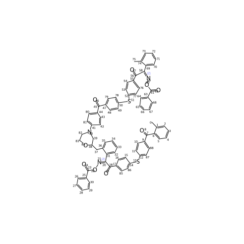 Cc1ccccc1C(=O)c1ccc(Sc2ccc(C(=O)/C(=N\OC(=O)c3ccccc3)c3ccccc3CC3CN(c4ccc(C(=O)c5ccc(Sc6ccc(C(=O)/C(=N\OC(=O)c7ccccc7)c7ccccc7C)cc6)cc5)cc4)CCO3)cc2)cc1